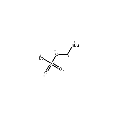 CCCCCOS(=O)(=O)CC